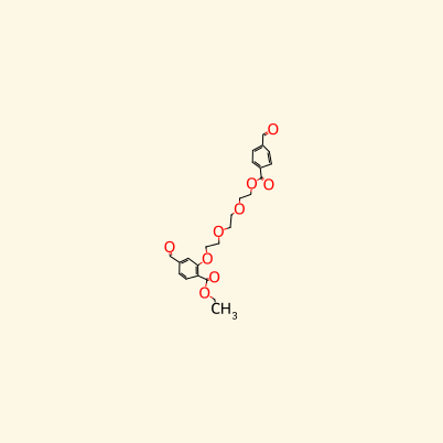 CCOC(=O)c1ccc(C=O)cc1OCCOCCOCCOC(=O)c1ccc(C=O)cc1